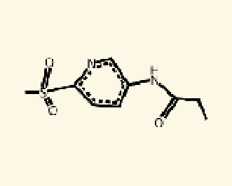 CCC(=O)Nc1ccc(S(C)(=O)=O)nc1